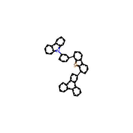 c1cc(-c2cccc3c2sc2c(-c4ccc5c6ccccc6c6ccccc6c5c4)cccc23)cc(-n2c3ccccc3c3ccccc32)c1